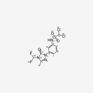 Cc1nn(-c2cccc(NS(=O)(=O)C(Cl)Cl)c2)c(=O)n1C(F)F